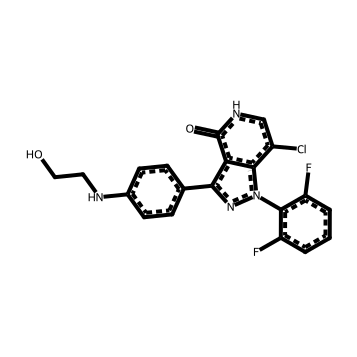 O=c1[nH]cc(Cl)c2c1c(-c1ccc(NCCO)cc1)nn2-c1c(F)cccc1F